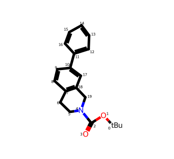 CC(C)(C)OC(=O)N1CCc2ccc(-c3ccccc3)cc2C1